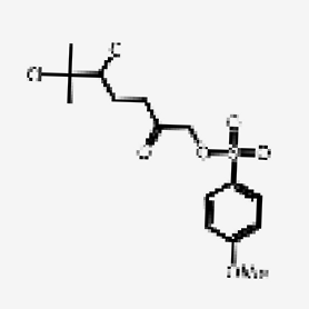 COc1ccc(S(=O)(=O)OCC(=O)CCC(Cl)C(C)(C)Cl)cc1